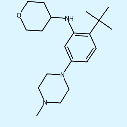 CN1CCN(c2ccc(C(C)(C)C)c(NC3CCOCC3)c2)CC1